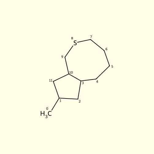 CC1CC2CCCCSCC2C1